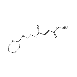 CCCCOC(=O)/C=C/C(=O)OCCOC1CCCCO1